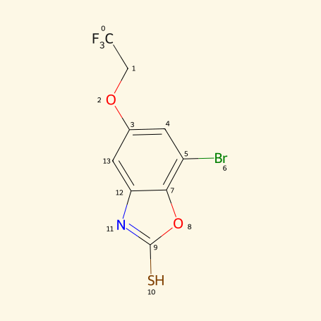 FC(F)(F)COc1cc(Br)c2oc(S)nc2c1